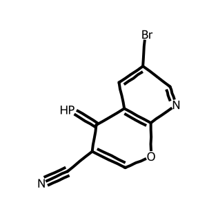 N#Cc1coc2ncc(Br)cc2c1=P